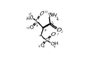 NC(=O)C(CS(=O)(=O)O)S(=O)(=O)O